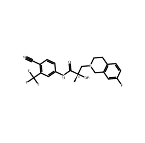 C[C@](O)(CN1CCc2ccc(F)cc2C1)C(=O)Nc1ccc(C#N)c(C(F)(F)F)c1